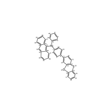 c1ccc(N(c2ccc(-c3ccc4c(c3)Oc3ccccc3S4)cc2)c2c3ccccc3cc3ccccc23)cc1